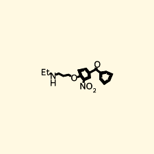 CCNCCCOc1ccc(C(=O)c2ccccc2)cc1[N+](=O)[O-]